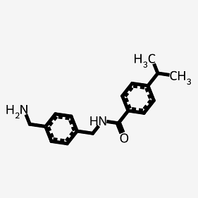 CC(C)c1ccc(C(=O)NCc2ccc(CN)cc2)cc1